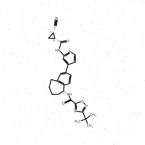 CC(C)(C)c1noc(C(=O)N[C@@H]2CCCCc3cc(-c4ccnc(NC(=O)[C@@H]5C[C@@H]5C#N)c4)ccc32)n1